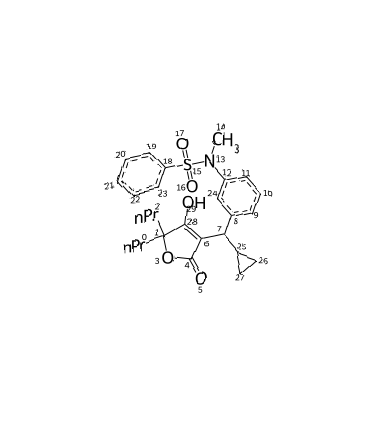 CCCC1(CCC)OC(=O)C(C(c2cccc(N(C)S(=O)(=O)c3ccccc3)c2)C2CC2)=C1O